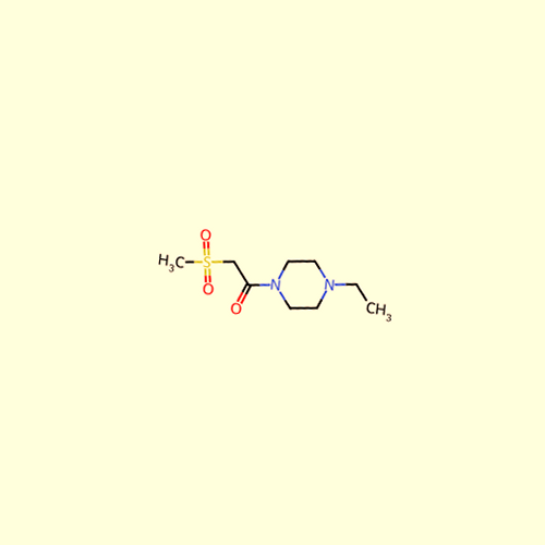 CCN1CCN(C(=O)CS(C)(=O)=O)CC1